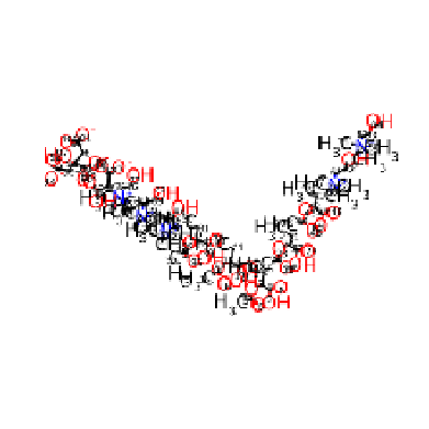 CCC(OC(C)=O)C(=O)O.CCC(OC(C)=O)C(=O)O.CCC(OC(C)=O)C(=O)O.CCC(OC(C)=O)C(=O)O.CCC(OC(C)=O)C(=O)[O-].C[N+](C)(C)CCO.C[N+](C)(C)CCO.C[N+](C)(C)CCO.C[N+](C)(C)CCO.C[N+](C)(C)CCO.O=C([O-])CC(=O)O.O=C([O-])CC(O)(CC(=O)[O-])C(=O)[O-]